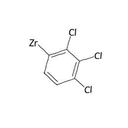 Clc1cc[c]([Zr])c(Cl)c1Cl